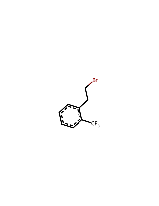 FC(F)(F)c1ccccc1CCBr